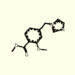 COC(=O)c1ccc(Cn2ccnc2)cc1OC